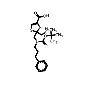 CCC1(CN(CCCc2ccccc2)C(=O)OC(C)(C)C)NC(C(=O)O)=CS1